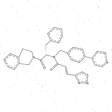 O=C([C@H](Cc1ccccc1)N(Cc1ccc(-c2ccncc2)cc1)C(=O)C=Cc1csnn1)N1CCc2ccccc2C1